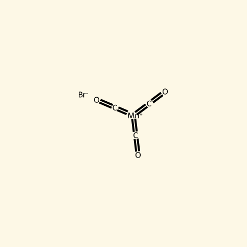 O=[C]=[Mn+](=[C]=O)=[C]=O.[Br-]